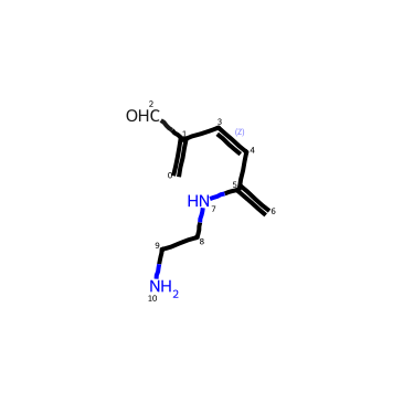 C=C(C=O)/C=C\C(=C)NCCN